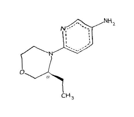 CC[C@H]1COCCN1c1ccc(N)cn1